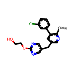 COc1ncc(Cc2cnc(OCCO)nc2)cc1-c1cccc(Cl)c1